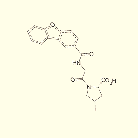 C[C@H]1C[C@@H](C(=O)O)N(C(=O)CNC(=O)c2ccc3oc4ccccc4c3c2)C1